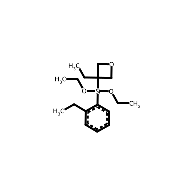 CCO[Si](OCC)(c1ccccc1CC)C1(CC)COC1